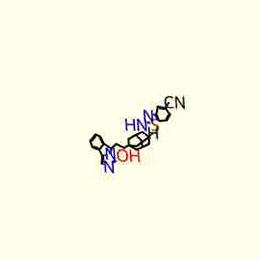 N#Cc1ccc2sc(NC3C4CC5C[C@@H]3CC(C(O)CC3c6ccccc6-c6cncn63)(C5)C4)nc2c1